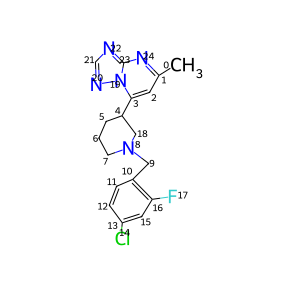 Cc1cc(C2CCCN(Cc3ccc(Cl)cc3F)C2)n2ncnc2n1